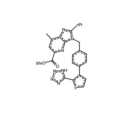 CCCc1nc2c(C)cc(C(=O)OC)nc2n1Cc1ccc(-c2ccsc2-c2nnn[nH]2)cc1